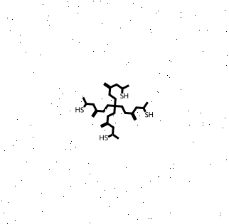 C=C(CCC(CCC(=C)CC(C)S)(CCC(=C)CC(C)S)CCC(=C)CC(C)S)CC(C)S